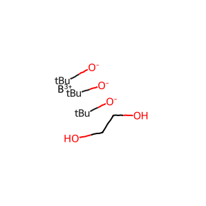 CC(C)(C)[O-].CC(C)(C)[O-].CC(C)(C)[O-].OCCO.[B+3]